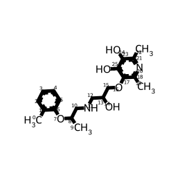 Cc1ccccc1OC(C)CNCC(O)COc1c(C)nc(C)c(O)c1O